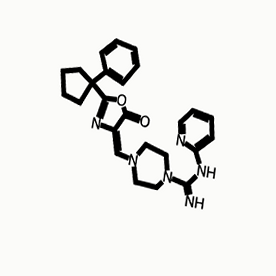 N=C(Nc1ccccn1)N1CCN(C=C2N=C(C3(c4ccccc4)CCCC3)OC2=O)CC1